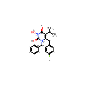 CC(C)c1c(Cc2ccc(F)cc2)n(Cc2ccccc2)c(=O)n(O)c1=O